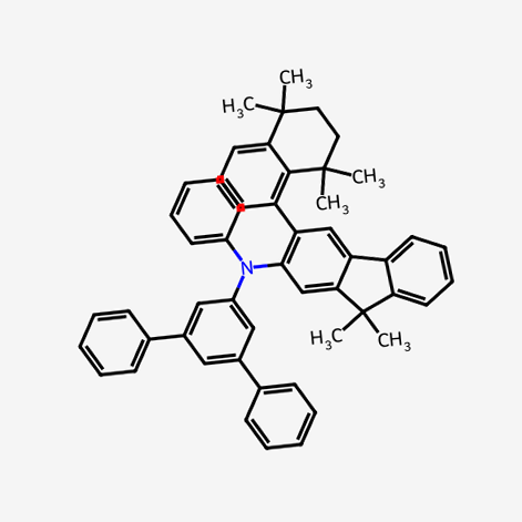 CC1(C)CCC(C)(C)c2c(-c3cc4c(cc3N(c3ccccc3)c3cc(-c5ccccc5)cc(-c5ccccc5)c3)C(C)(C)c3ccccc3-4)cccc21